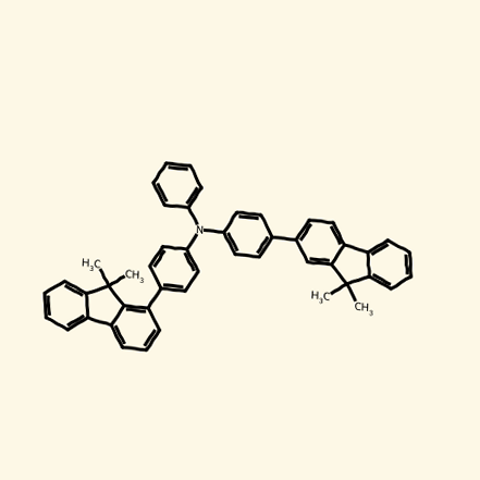 CC1(C)c2ccccc2-c2ccc(-c3ccc(N(c4ccccc4)c4ccc(-c5cccc6c5C(C)(C)c5ccccc5-6)cc4)cc3)cc21